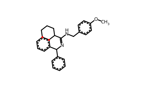 COc1ccc(CNC(=NC(c2ccccc2)c2ccccc2)C2CCCCC2)cc1